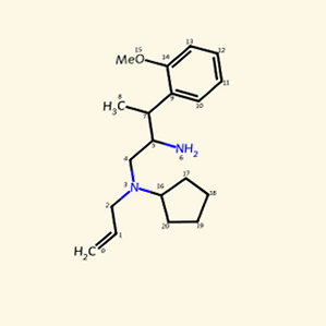 C=CCN(CC(N)C(C)c1ccccc1OC)C1CCCC1